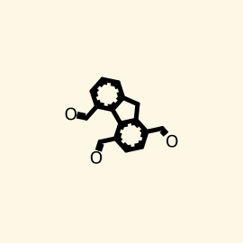 O=Cc1ccc(C=O)c2c1Cc1cccc(C=O)c1-2